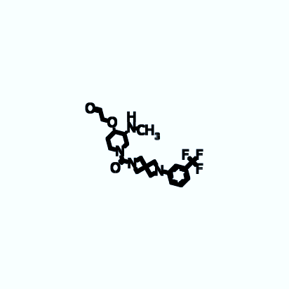 CN[C@@H]1CN(C(=O)N2CC3(C2)CN(c2cccc(C(F)(F)F)c2)C3)CC[C@@H]1OCC=O